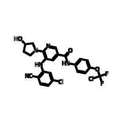 N#Cc1ccc(Cl)cc1Nc1cc(C(=O)Nc2ccc(OC(F)(F)Cl)cc2)cnc1N1CC[C@@H](O)C1